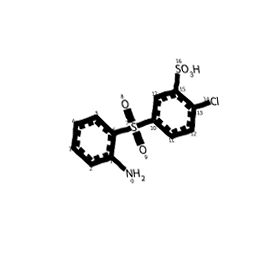 Nc1ccccc1S(=O)(=O)c1ccc(Cl)c(S(=O)(=O)O)c1